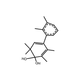 CC1=C(C)C(O)(O)C(C)(C)C=C1c1cccc(C)c1C